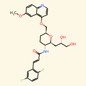 COc1ccc2nccc(OC[C@@H]3CC[C@@H](NC(=O)/C=C/c4cc(F)ccc4F)[C@H](C[C@H](O)CO)O3)c2c1